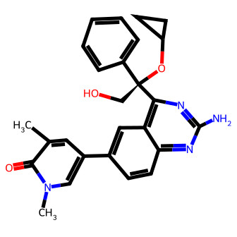 Cc1cc(-c2ccc3nc(N)nc([C@@](CO)(OC4CC4)c4ccccc4)c3c2)cn(C)c1=O